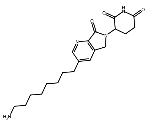 NCCCCCCCCc1cnc2c(c1)CN(C1CCC(=O)NC1=O)C2=O